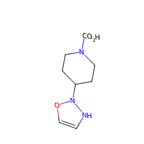 O=C(O)N1CCC(N2NC=CO2)CC1